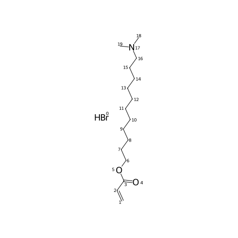 Br.C=CC(=O)OCCCCCCCCCCCN(C)C